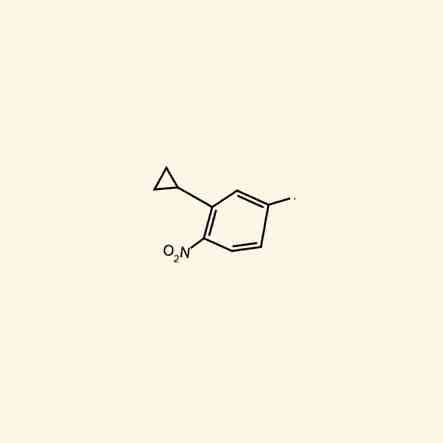 [CH2]c1ccc([N+](=O)[O-])c(C2CC2)c1